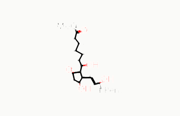 CCCCC[C@H](O)C=CC1C(C(O)CCCCCC(=O)OC)C(=O)C[C@H]1O